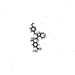 CCc1ccc(Cc2sc3c(c2C(=O)NC(C)c2ccc(C(=O)O)cc2)CCOC3)cc1